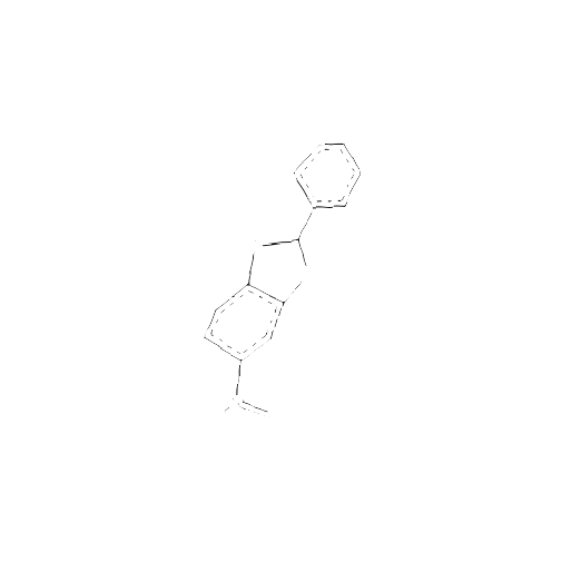 O=[N+]([O-])c1ccc2c(c1)OC(c1ccccc1)O2